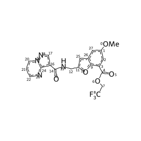 COc1cc(C(=O)OCC(F)(F)F)c2oc(CNC(=O)c3cnn4cccnc34)cc2c1